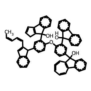 C/C=C\C=C/C1=Cc2ccccc2C1c1ccc(Oc2ccc(C3(O)C4=C(C=CC=C=C4)c4ccccc43)cc2C2(O)c3ccccc3-c3ccccc32)c(C2(O)C3=C(C=CC3)c3ccccc32)c1